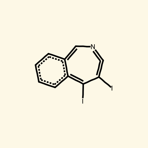 IC1=C=NC=c2ccccc2=C1I